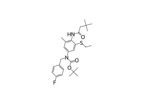 CCSc1cc(N(Cc2ccc(F)cc2)C(=O)OC(C)(C)C)cc(C)c1NC(=O)CC(C)(C)C